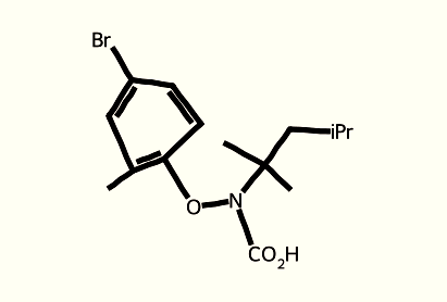 Cc1cc(Br)ccc1ON(C(=O)O)C(C)(C)CC(C)C